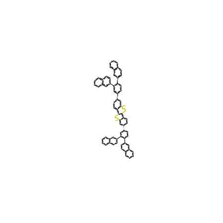 c1ccc2cc(-c3ccc(-c4ccc5c(c4)sc4c6ccc(-c7ccc(-c8ccc9ccccc9c8)c(-c8ccc9ccccc9c8)c7)cc6sc54)cc3-c3ccc4ccccc4c3)ccc2c1